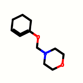 C1=CCCCC=1OCN1CCOCC1